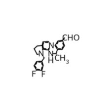 CC(Nc1nccc2c1N(Cc1ccc(F)c(F)c1)CCC2)c1ccc(C=O)cc1